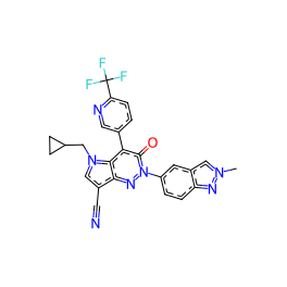 Cn1cc2cc(-n3nc4c(C#N)cn(CC5CC5)c4c(-c4ccc(C(F)(F)F)nc4)c3=O)ccc2n1